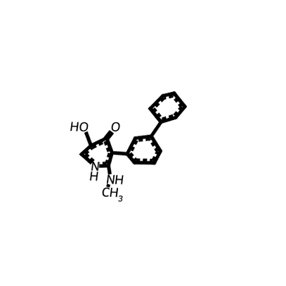 CNc1[nH]cc(O)c(=O)c1-c1cccc(-c2ccccc2)c1